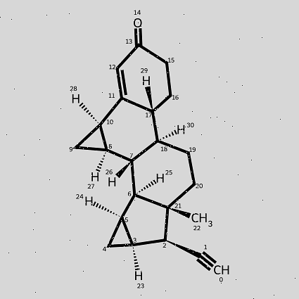 C#C[C@H]1[C@H]2C[C@H]2[C@H]2[C@@H]3[C@H]4C[C@H]4C4=CC(=O)CC[C@@H]4[C@H]3CC[C@@]21C